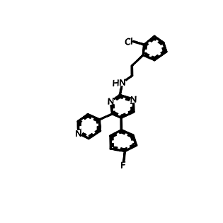 Fc1ccc(-c2cnc(NCCc3ccccc3Cl)nc2-c2ccncc2)cc1